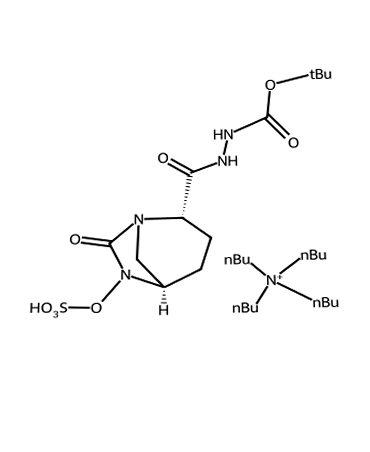 CC(C)(C)OC(=O)NNC(=O)[C@@H]1CC[C@@H]2CN1C(=O)N2OS(=O)(=O)O.CCCC[N+](CCCC)(CCCC)CCCC